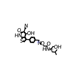 CC(C)C[C@H](CO)NC(=O)CO/N=C/c1ccc(-c2csc3[nH]c(=O)c(C#N)c(O)c23)cc1